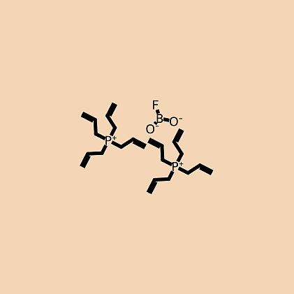 C=CC[P+](CC=C)(CC=C)CC=C.C=CC[P+](CC=C)(CC=C)CC=C.[O-]B([O-])F